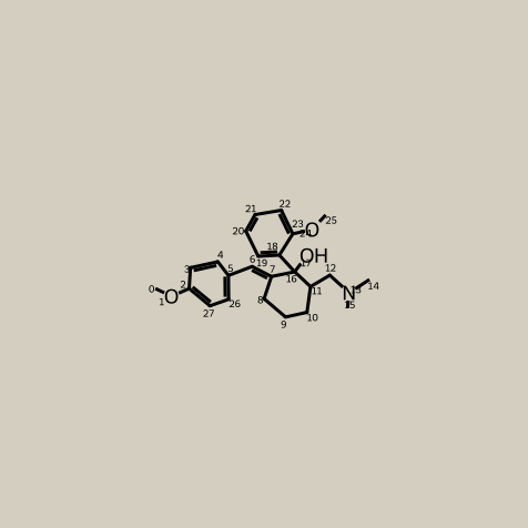 COc1ccc(C=C2CCCC(CN(C)C)C2(O)c2ccccc2OC)cc1